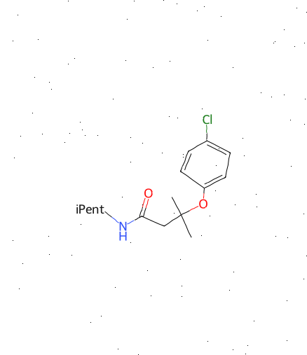 CCCC(C)NC(=O)CC(C)(C)Oc1ccc(Cl)cc1